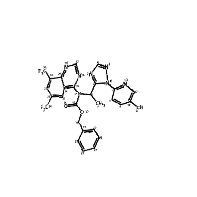 CC(c1ncnn1-c1ccc(C#N)cn1)N(C(=O)OCc1ccccc1)c1ncnc2c(C(F)(F)F)cc(C(F)(F)F)cc12